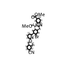 COCCn1c(Cc2ccc(-c3cccc(OCc4ccc(C#N)cc4F)n3)c(Br)c2)nc2ccc(C(=O)OC)cc21